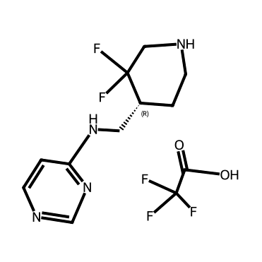 FC1(F)CNCC[C@@H]1CNc1ccncn1.O=C(O)C(F)(F)F